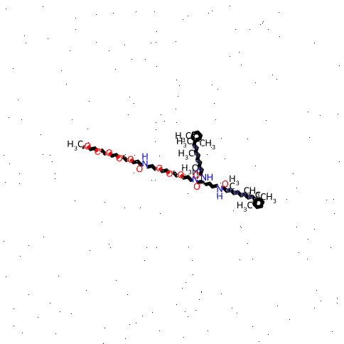 CCOCCOCCOCCOCCOCCC(=O)NCCCOCCOCCOCCCNC(=O)[C@H](CCCCNC(=O)/C=C(C)/C=C/C=C(C)/C=C/C1=C(C)CCCC1(C)C)NC(=O)/C=C(C)/C=C/C=C(C)/C=C/C1=C(C)CCCC1(C)C